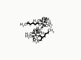 CCCCC(CC)C[O][Ti]([N](C)C)([N](C)C)[N](C)C.CCCCCC[O][Ti]([N](C)C)([N](C)C)[N](C)C